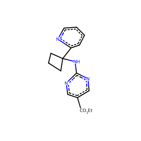 CCOC(=O)c1cnc(NC2(c3ccccn3)CCC2)nc1